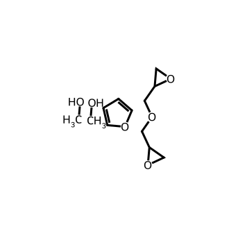 C(OCC1CO1)C1CO1.CO.CO.c1ccoc1